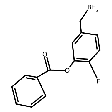 BCc1ccc(F)c(OC(=O)c2ccccc2)c1